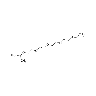 [CH2]COCCOCCOCCOCCOC(C)C